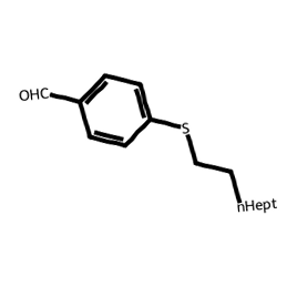 CCCCCCCCCSc1ccc(C=O)cc1